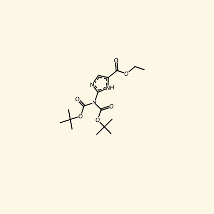 CCOC(=O)c1cnc(N(C(=O)OC(C)(C)C)C(=O)OC(C)(C)C)[nH]1